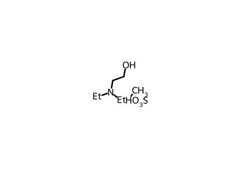 CCN(CC)CCO.CS(=O)(=O)O